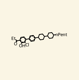 CCCCCC1CCC(C2CCC(c3ccc(-c4ccc(C(=O)CC)c(O)c4Cl)cc3)CC2)CC1